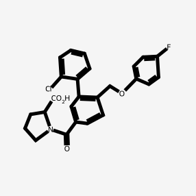 O=C(O)C1CCCN1C(=O)c1ccc(COc2ccc(F)cc2)c(-c2ccccc2Cl)c1